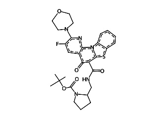 CC(C)(C)OC(=O)N1CCCC1CNC(=O)c1c(=O)c2cc(F)c(N3CCOCC3)nc2n2c1sc1ccccc12